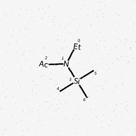 CCN(C(C)=O)[Si](C)(C)C